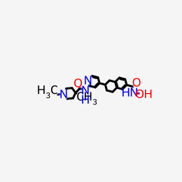 CCN1CCC(C)(C(=O)Nc2cc(C3CCc4cc(C(=O)NO)ccc4C3)ccn2)CC1